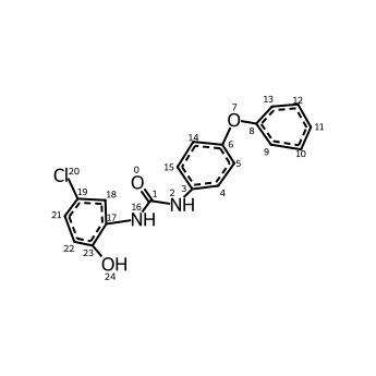 O=C(Nc1ccc(Oc2ccccc2)cc1)Nc1cc(Cl)ccc1O